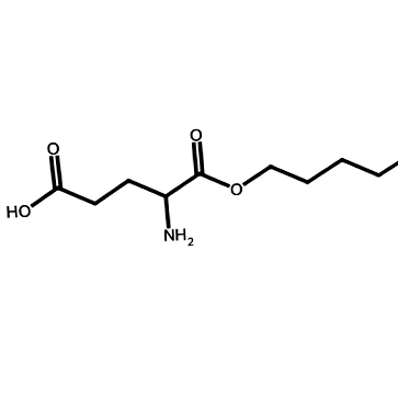 CCCCCOC(=O)C(N)CCC(=O)O